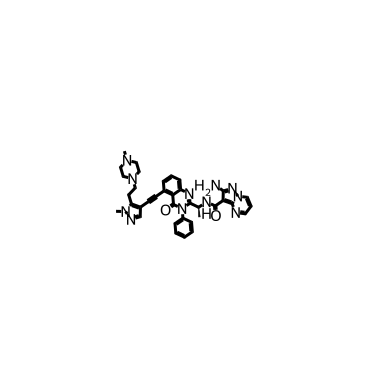 C[C@H](NC(=O)c1c(N)nn2cccnc12)c1nc2cccc(C#Cc3cnn(C)c3CCN3CCN(C)CC3)c2c(=O)n1-c1ccccc1